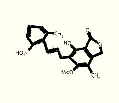 COc1c(C)c2c(c(O)c1C/C=C/c1c(C)cccc1C(=O)O)C(=O)OC2